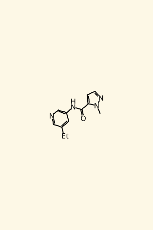 CCc1cncc(NC(=O)c2ccnn2C)c1